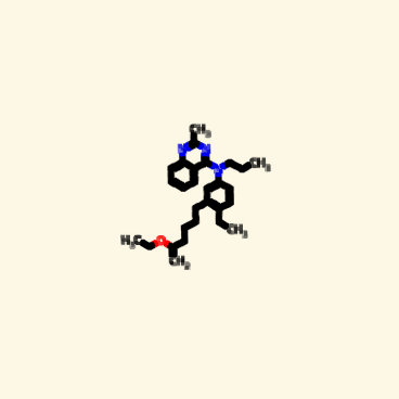 C=C(CCCCc1cc(N(CCC)c2nc(C)nc3ccccc23)ccc1CC)OCC